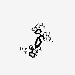 COc1ccc(C(=C(C)C)c2ccc(NC(=O)c3c(C)cccc3F)cc2)cc1